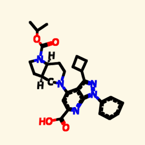 CC(C)OC(=O)N1CC[C@@H]2CN(c3cc(C(=O)O)nc4c3c(C3CCC3)nn4-c3ccccc3)CC[C@@H]21